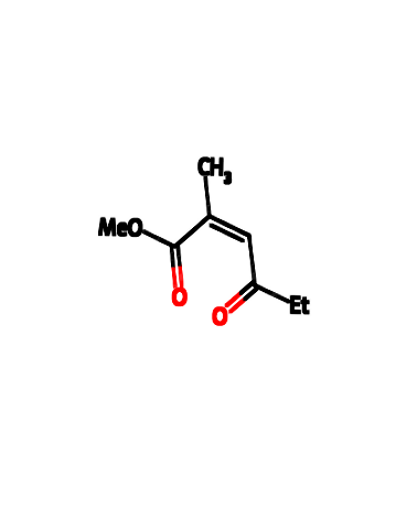 CCC(=O)C=C(C)C(=O)OC